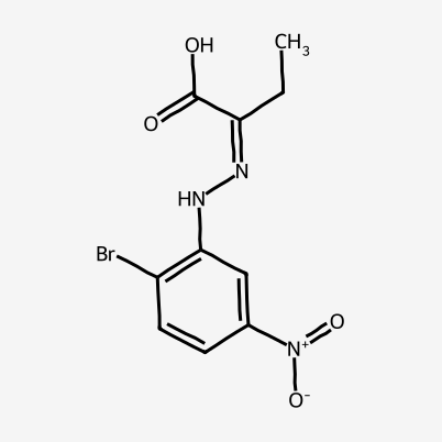 CCC(=NNc1cc([N+](=O)[O-])ccc1Br)C(=O)O